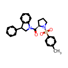 Cc1ccc(S(=O)(=O)N2CCC[C@@H]2C(=O)N2CC(c3ccccc3)c3ccccc32)cc1